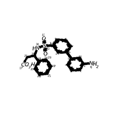 Nc1cccc(-c2cccc(S(=O)(=O)NC(CC(=O)O)c3ccccc3)c2)c1